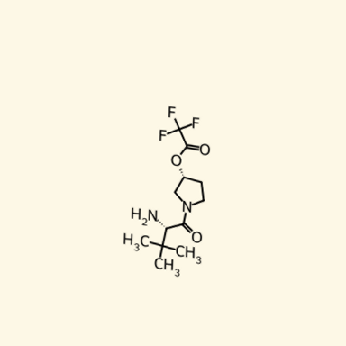 CC(C)(C)[C@H](N)C(=O)N1CC[C@@H](OC(=O)C(F)(F)F)C1